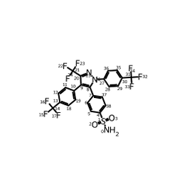 NS(=O)(=O)c1ccc(-c2c(-c3ccc(C(F)(F)F)cc3)c(C(F)(F)F)nn2-c2ccc(C(F)(F)F)cc2)cc1